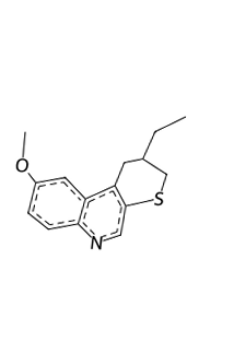 CCC1CSc2cnc3ccc(OC)cc3c2C1